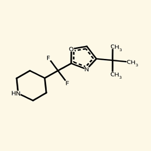 CC(C)(C)c1coc(C(F)(F)C2CCNCC2)n1